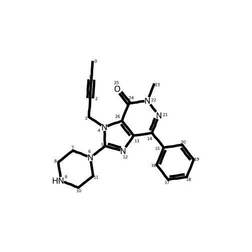 CC#CCn1c(N2CCNCC2)nc2c(-c3ccccc3)nn(C)c(=O)c21